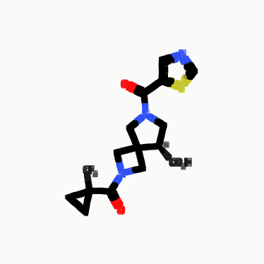 O=C(O)[C@@H]1CN(C(=O)c2cncs2)CC12CN(C(=O)C1(C(F)(F)F)CC1)C2